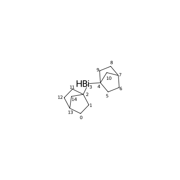 C1C[C]2([BiH][C]34CCC(CC3)C4)CCC1C2